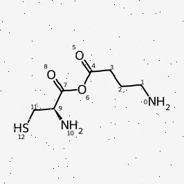 NCCCC(=O)OC(=O)[C@@H](N)CS